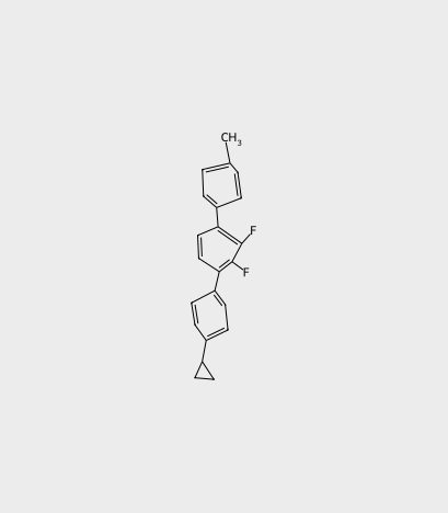 Cc1ccc(-c2ccc(-c3ccc(C4CC4)cc3)c(F)c2F)cc1